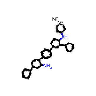 N#C[C@H]1C=CC(Nc2ccc(-c3ccc(-c4ccc(-c5ccccc5)cc4N)cc3)cc2-c2ccccc2)=CC1